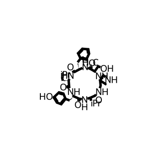 CC(C)C[C@@H]1NC(=O)[C@H](Cc2ccccc2)NC(=O)[C@H]([C@@H](C)O)NC2(CNC2)CNC(=O)C(C(C)C)NC(=O)[C@H](Cc2ccc(O)cc2)NC1=O